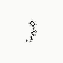 C=CCNCC(=O)OCc1ccccc1